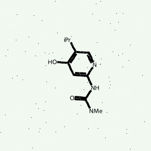 CNC(=O)Nc1cc(O)c(C(C)C)cn1